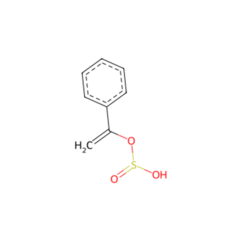 C=C(OS(=O)O)c1ccccc1